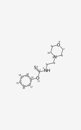 S=C(NCCN1CCOCC1)Oc1ccccc1